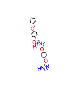 CC(COc1ccc(OCC2=NCCN2)cc1)NCC(O)c1ccc(OCc2ccccc2)cc1